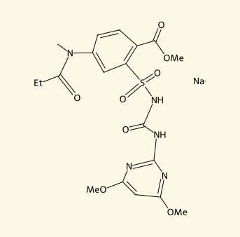 CCC(=O)N(C)c1ccc(C(=O)OC)c(S(=O)(=O)NC(=O)Nc2nc(OC)cc(OC)n2)c1.[Na]